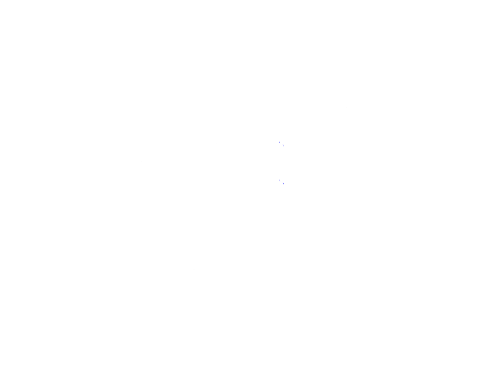 c1ccc(-c2cc(-c3ccccc3)nc(-c3ccc4c(c3)c3ccccc3c3cccc(-c5ccc6oc7ccccc7c6c5)c34)n2)cc1